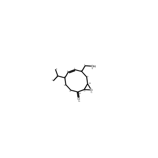 CC(C)C1C=CC(CO)CC2OC2C(=O)CC1